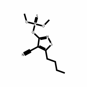 CCCCc1snc(OP(=S)(OC)OC)c1C#N